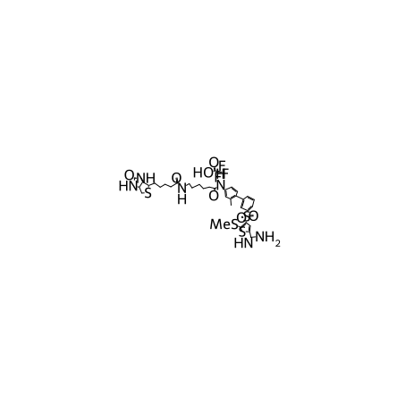 CSc1sc(C(=N)N)cc1S(=O)(=O)c1cccc(-c2ccc(NC(=O)CCCCCNC(=O)CCCCC3SCC4NC(=O)NC43)cc2C)c1.O=C(O)C(F)(F)F